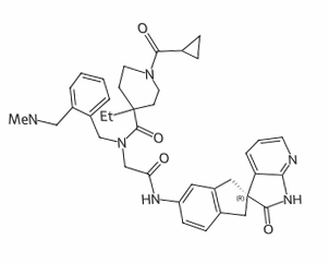 CCC1(C(=O)N(CC(=O)Nc2ccc3c(c2)C[C@@]2(C3)C(=O)Nc3ncccc32)Cc2ccccc2CNC)CCN(C(=O)C2CC2)CC1